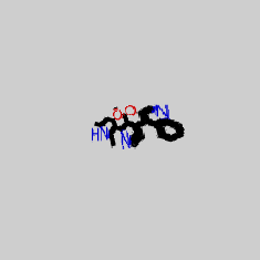 COC(=O)c1c(-c2ccnc3ccccc23)ccnc1C1=C(C)NC(C)=CC1